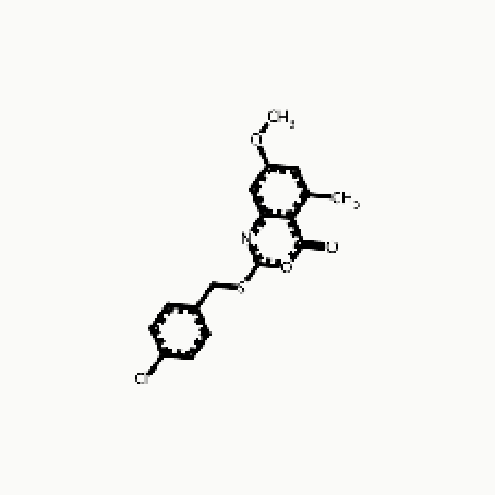 COc1cc(C)c2c(=O)oc(SCc3ccc(Cl)cc3)nc2c1